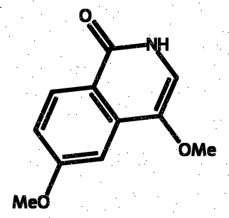 COc1ccc2c(=O)[nH]cc(OC)c2c1